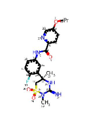 CC(C)Oc1ccc(C(=O)Nc2ccc(F)c([C@]3(C)CS(=O)(=O)N(C)C(=N)N3)c2)nc1